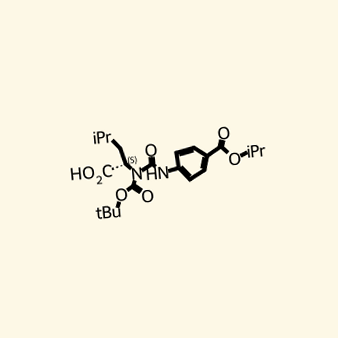 CC(C)C[C@@H](C(=O)O)N(C(=O)Nc1ccc(C(=O)OC(C)C)cc1)C(=O)OC(C)(C)C